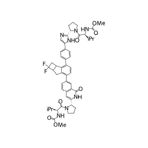 COC(=O)N[C@H](C(=O)N1CCC[C@H]1c1cc2ccc(-c3ccc(-c4ccc(-c5cnc([C@@H]6CCCN6C(=O)[C@@H](NC(=O)OC)C(C)C)[nH]5)cc4)c4c3CC3C4CC3(F)F)cc2c(=O)[nH]1)C(C)C